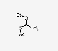 CCOC(C)SC(C)=O